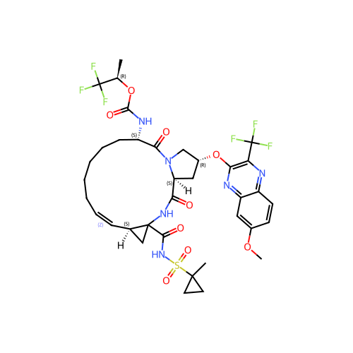 COc1ccc2nc(C(F)(F)F)c(O[C@@H]3C[C@H]4C(=O)NC5(C(=O)NS(=O)(=O)C6(C)CC6)C[C@H]5/C=C\CCCCC[C@H](NC(=O)O[C@H](C)C(F)(F)F)C(=O)N4C3)nc2c1